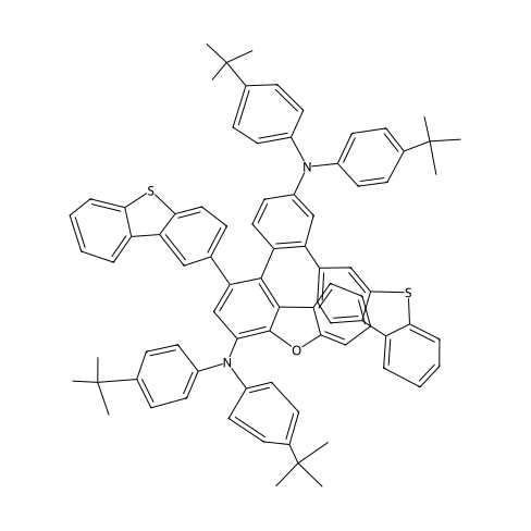 CC(C)(C)c1ccc(N(c2ccc(C(C)(C)C)cc2)c2ccc(-c3c(-c4ccc5sc6ccccc6c5c4)cc(N(c4ccc(C(C)(C)C)cc4)c4ccc(C(C)(C)C)cc4)c4oc5ccccc5c34)c(-c3ccc4c(c3)sc3ccccc34)c2)cc1